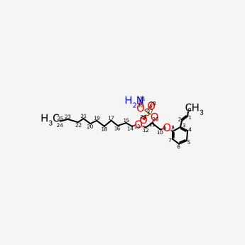 CC=Cc1ccccc1OCC(COCCCCCCCCCCCC)OS(=O)(=O)ON